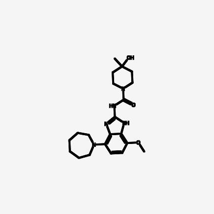 COc1ccc(N2CCCCCC2)c2nc(NC(=O)N3CCC(C)(O)CC3)[nH]c12